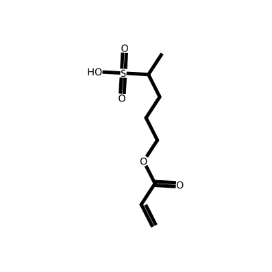 C=CC(=O)OCCCC(C)S(=O)(=O)O